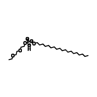 CCCCCCCCCCCCCCCCCCCOOP(=O)(O)OCCOCCOCC